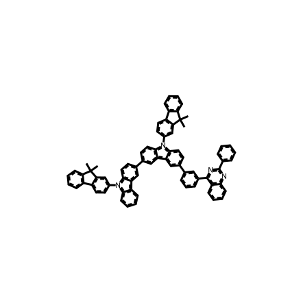 CC1(C)c2ccccc2-c2ccc(-n3c4ccccc4c4cc(-c5ccc6c(c5)c5cc(-c7cccc(-c8nc(-c9ccccc9)nc9ccccc89)c7)ccc5n6-c5ccc6c(c5)C(C)(C)c5ccccc5-6)ccc43)cc21